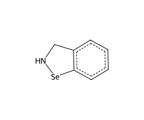 c1ccc2c(c1)CN[Se]2